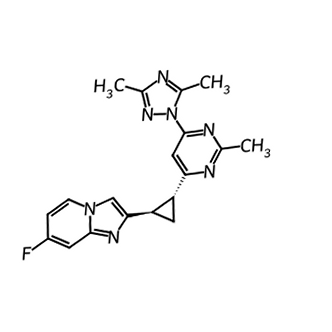 Cc1nc([C@@H]2C[C@H]2c2cn3ccc(F)cc3n2)cc(-n2nc(C)nc2C)n1